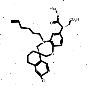 C=CCCCCN1C[C@@]2(CCCc3cc(Cl)ccc32)COc2ccc([C@@H](CC(=O)O)C(=O)OC(C)(C)C)cc21